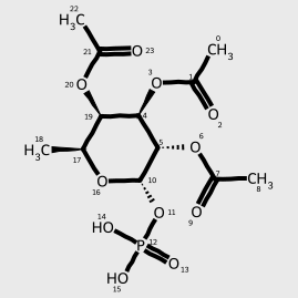 CC(=O)O[C@H]1[C@H](OC(C)=O)[C@H](OP(=O)(O)O)O[C@@H](C)[C@H]1OC(C)=O